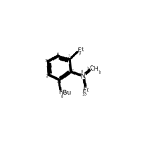 CCCCc1cccc(CC)c1N(C)CC